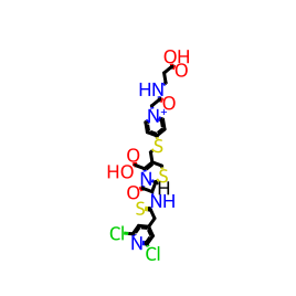 O=C(O)CCNC(=O)C[n+]1ccc(SCC2=C(C(=O)O)N3C(=O)[C@H](NC(=S)Cc4cc(Cl)nc(Cl)c4)[C@H]3SC2)cc1